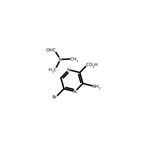 CN(C)C=O.Nc1nc(Br)cnc1C(=O)O